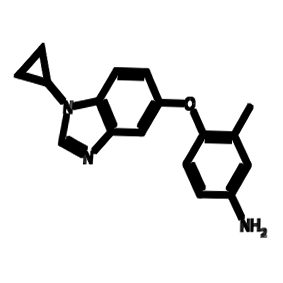 Cc1cc(N)ccc1Oc1ccc2c(c1)ncn2C1CC1